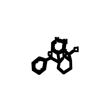 O=C(c1ccccc1)C12CCCC(N1)C(Cl)c1nnccc12